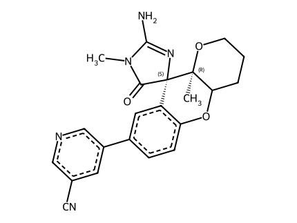 CN1C(=O)[C@]2(N=C1N)c1cc(-c3cncc(C#N)c3)ccc1OC1CCCO[C@@]12C